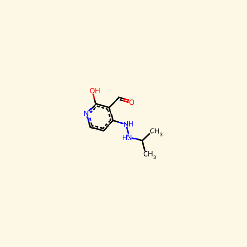 CC(C)NNc1ccnc(O)c1C=O